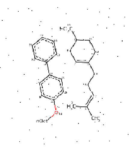 CC(C)=CCCC1=CCC(C(=O)O)CC1.CCCCCCCCOc1ccc(-c2ccccc2)cc1